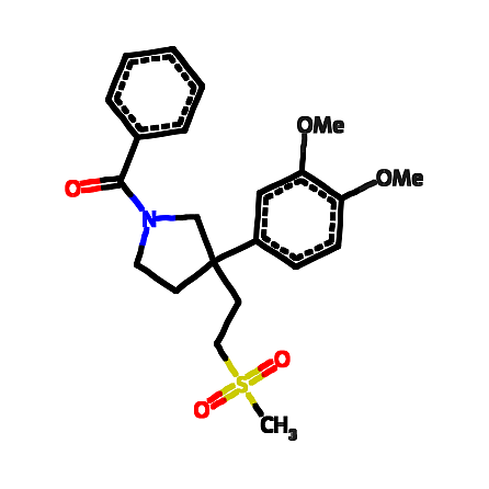 COc1ccc(C2(CCS(C)(=O)=O)CCN(C(=O)c3ccccc3)C2)cc1OC